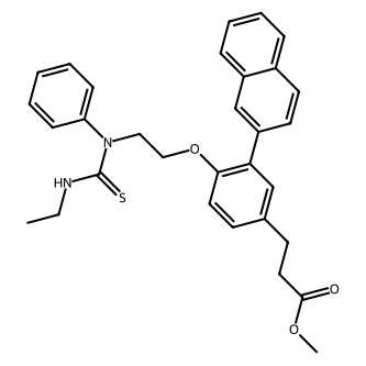 CCNC(=S)N(CCOc1ccc(CCC(=O)OC)cc1-c1ccc2ccccc2c1)c1ccccc1